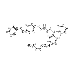 O=C(O)/C=C\C(=O)O.c1ccc(C(CCNCCc2ccc(OCc3ccccn3)cc2)c2ccccc2)cc1